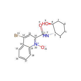 O=C(N[C@H]1CCCC[C@@H]1O)c1cc(Br)c2ccccc2[n+]1[O-]